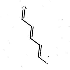 C/C=C/C=CC=O